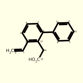 C=Cc1cccc(-c2ccccc2)c1CC(=O)O